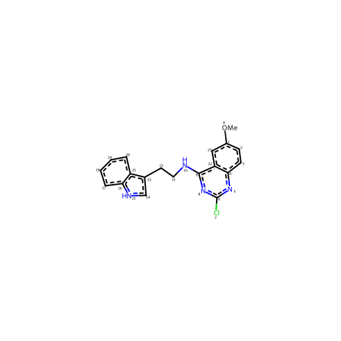 COc1ccc2nc(Cl)nc(NCCc3c[nH]c4ccccc34)c2c1